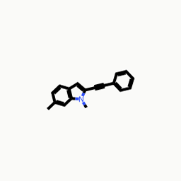 Cc1ccc2cc(C#Cc3ccccc3)n(C)c2c1